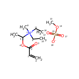 C=CC(=O)OC(C)[N+](C)(CC)CC.COS(=O)(=O)[O-]